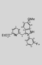 CCOC(=O)c1cccc(Cc2c(-c3cccc(F)c3)[nH]c3cc(OC)ccc23)n1